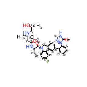 C[C@@H](O)CNC(C)(C)CC(=O)N[C@@H]1CCc2cc(F)ccc2N(Cc2ccc(-c3ccccc3-n3nc[nH]c3=O)cc2)C1=O